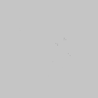 CS(=O)(=O)c1ccc(-n2nc(C(F)(F)F)nc2C2(Cc3ccccc3)COCO2)cc1